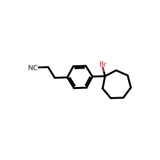 N#CCCc1ccc(C2(Br)CCCCCC2)cc1